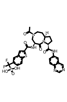 CC(=O)N1CC[C@H]2CC[C@@H](C(=O)Nc3ccc4ncncc4c3)N2C(=O)[C@@H](NC(=O)c2cc3cc(C(F)(F)P(=O)(O)O)ccc3s2)C1